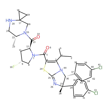 CC(C)C1=C(C(=O)N2C[C@H](F)C[C@H]2C(=O)N2CC3(CC3)NC[C@H]2C)SC2=N[C@@](C)(c3ccc(Cl)cc3)[C@@H](c3ccc(Cl)cc3)N21